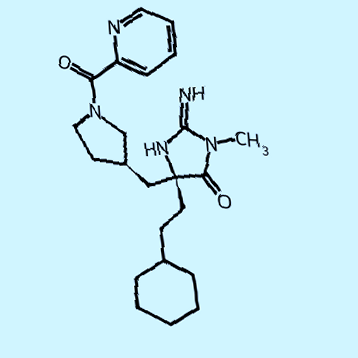 CN1C(=N)N[C@@](CCC2CCCCC2)(C[C@H]2CCN(C(=O)c3ccccn3)C2)C1=O